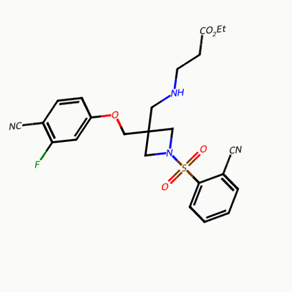 CCOC(=O)CCNCC1(COc2ccc(C#N)c(F)c2)CN(S(=O)(=O)c2ccccc2C#N)C1